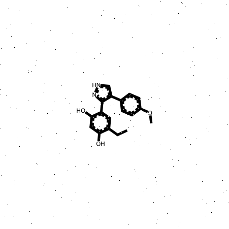 CCc1cc(-c2n[nH]cc2-c2ccc(OC)cc2)c(O)cc1O